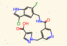 O=C(O)c1cnn(Cc2cncc(C(=O)NCc3cc4c(Cl)c[nH]c4cc3F)c2)c1